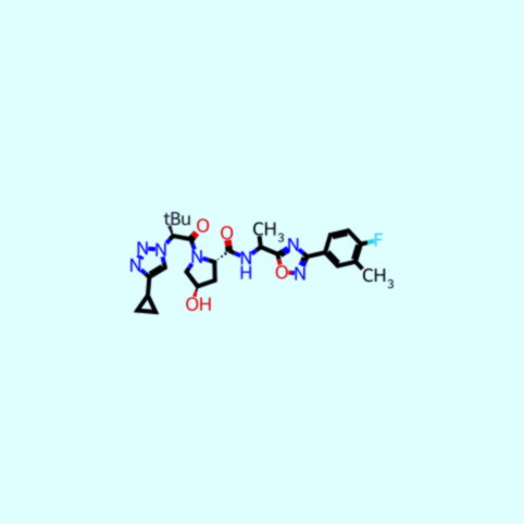 Cc1cc(-c2noc(C(C)NC(=O)[C@@H]3C[C@@H](O)CN3C(=O)[C@@H](n3cc(C4CC4)nn3)C(C)(C)C)n2)ccc1F